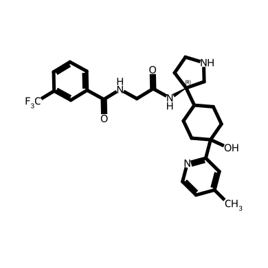 Cc1ccnc(C2(O)CCC([C@]3(NC(=O)CNC(=O)c4cccc(C(F)(F)F)c4)CCNC3)CC2)c1